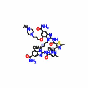 CCc1nc(C)sc1C(=O)Nc1nc2cc(C(N)=O)cc(OCCCN3CCN(C(C)=O)CC3)c2n1C/C=C/Cn1c(NC(=O)c2cc(C)nn2CC)nc2cc(C(N)=O)cc(OC)c21